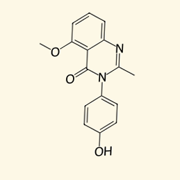 COc1cccc2nc(C)n(-c3ccc(O)cc3)c(=O)c12